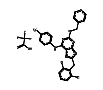 FC(F)(F)c1ccc(Nc2nc(NCc3ccncc3)nc3sc(Cc4c(Cl)cccc4Cl)nc23)cc1.O=C(O)C(F)(F)F